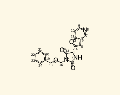 O=C1N[C@@H](c2cc3cnccc3o2)C(=O)N1COCc1ccccc1